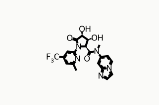 Cc1cc(C(F)(F)F)cc(N2C(=O)[C@@H](O)[C@@H](O)[C@H]2C(=O)N(C)c2ccn3ccnc3c2)n1